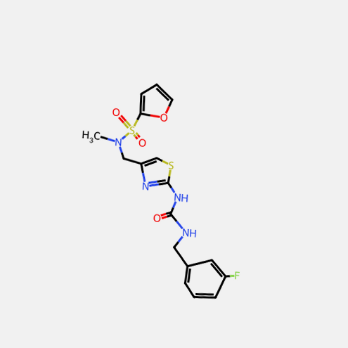 CN(Cc1csc(NC(=O)NCc2cccc(F)c2)n1)S(=O)(=O)c1ccco1